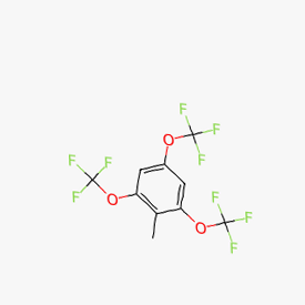 Cc1c(OC(F)(F)F)cc(OC(F)(F)F)cc1OC(F)(F)F